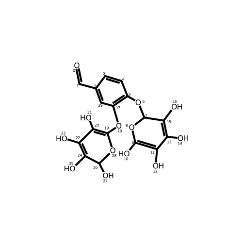 O=Cc1ccc(OC2OC(O)=C(O)C(O)=C2O)c(OC2=C(O)C(O)=C(O)C(O)O2)c1